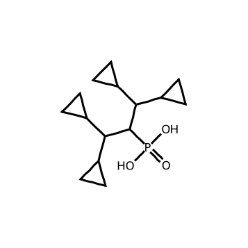 O=P(O)(O)C(C(C1CC1)C1CC1)C(C1CC1)C1CC1